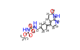 CC(C)(C)OC(=O)NS(=O)(=O)NCc1ccc(-c2ccnc3[nH]c(=O)ccc23)cc1